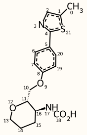 Cc1cnc(-c2ccc(OC[C@H]3OCCC[C@@H]3NC(=O)O)cc2)s1